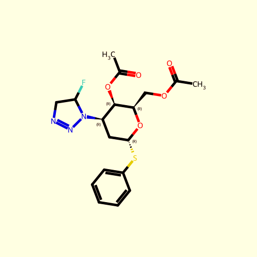 CC(=O)OC[C@H]1O[C@H](Sc2ccccc2)C[C@@H](N2N=NCC2F)[C@H]1OC(C)=O